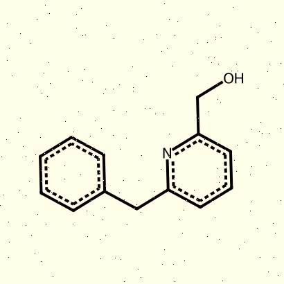 OCc1cccc(Cc2ccccc2)n1